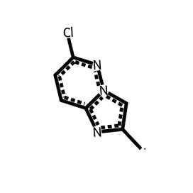 [CH2]c1cn2nc(Cl)ccc2n1